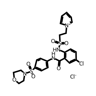 O=C(Nc1ccc(S(=O)(=O)N2CCOCC2)cc1)c1cc(Cl)ccc1NS(=O)(=O)CC[n+]1ccccc1.[Cl-]